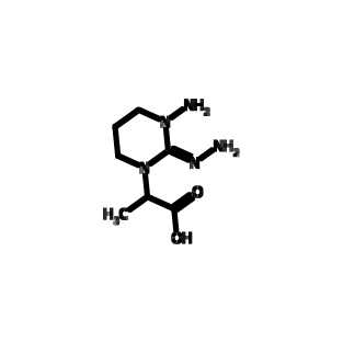 CC(C(=O)O)N1CCCN(N)C1=NN